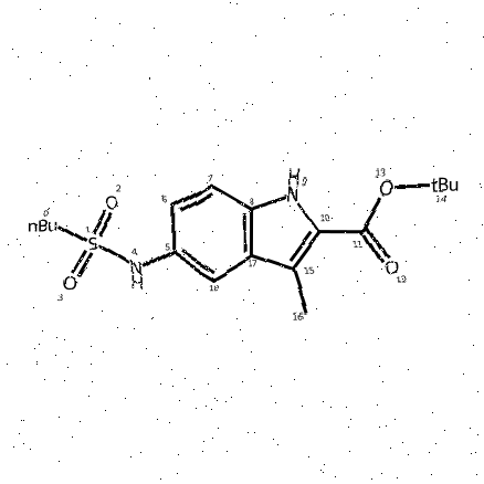 CCCCS(=O)(=O)Nc1ccc2[nH]c(C(=O)OC(C)(C)C)c(C)c2c1